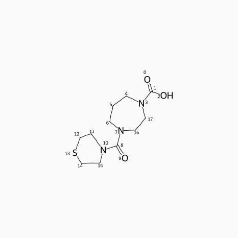 O=C(O)N1CCCN(C(=O)N2CCSCC2)CC1